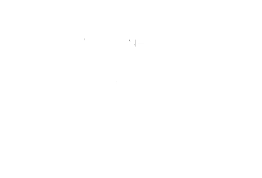 c1ccc([C@@H]2COCN2)cc1